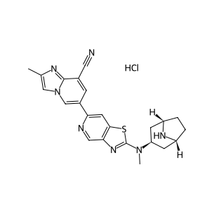 Cc1cn2cc(-c3cc4sc(N(C)[C@@H]5C[C@H]6CC[C@@H](C5)N6)nc4cn3)cc(C#N)c2n1.Cl